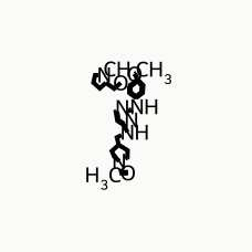 COc1ccc(Nc2nccc(NCC3CCN(C(C)=O)CC3)n2)cc1OCC1CCCN1C